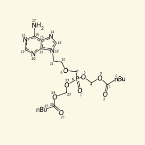 CCCCC(=O)OCOP(=O)(COCCn1cnc2c(N)ncnc21)OCOC(=O)CCCC